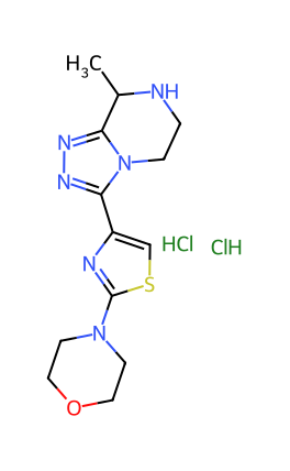 CC1NCCn2c(-c3csc(N4CCOCC4)n3)nnc21.Cl.Cl